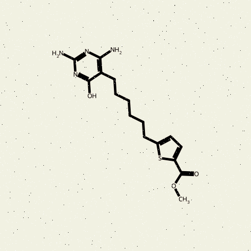 COC(=O)c1ccc(CCCCCCc2c(N)nc(N)nc2O)s1